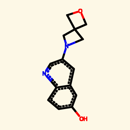 Oc1ccc2ncc(N3CC4(COC4)C3)cc2c1